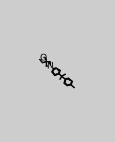 Cc1ccc(C(C)(C)c2ccc(N3CC4(CCOC4)C3)cc2)cc1